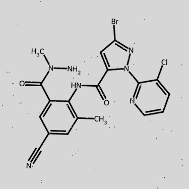 Cc1cc(C#N)cc(C(=O)N(C)N)c1NC(=O)c1cc(Br)nn1-c1ncccc1Cl